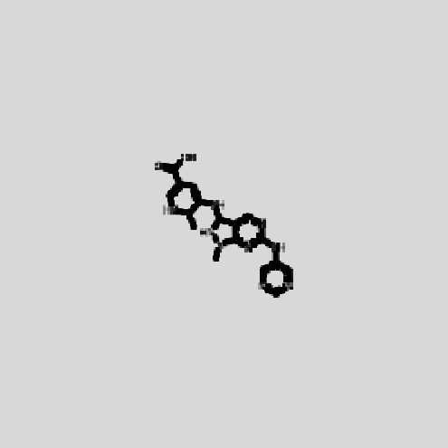 CC1NC=C(C(=O)O)C=C1NC1NN(C)c2nc(Nc3cncnc3)ncc21